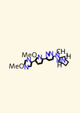 COc1cnc(-c2ccc(-c3ccc(N(C)[C@@H]4C[C@H]5CC[C@@H](C4)N5)nn3)nc2OC)cn1